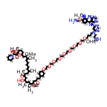 C=Nc1cc(-c2nn(-c3cc(N(CCCCOCCOCCOCCOCCOCCOCCOCCOCCOC4CCC(CCC(CC(=O)C(C)/C=C(\C)C(O)CC(=O)C(C)CC(C)/C=C/C=C/C=C(\C)C(CC5CC[C@@H](C)[C@](O)(C(=O)C(=O)N6CCCCC6)O5)OC)OC=O)CC4)CCNC=O)ncn3)c3ncnc(N)c23)ccc1OCN